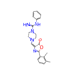 Cc1cccc(C2=NC(=CN3CCN(C(=N)Nc4ccccc4)CC3)C(=O)O2)c1C